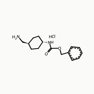 Cl.NC[C@H]1CC[C@H](NC(=O)OCc2ccccc2)CC1